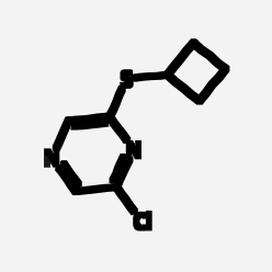 Clc1cncc(SC2CCC2)n1